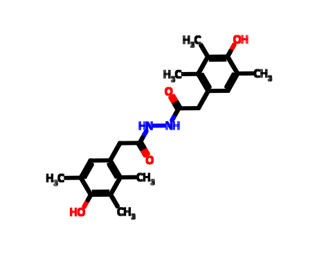 Cc1cc(CC(=O)NNC(=O)Cc2cc(C)c(O)c(C)c2C)c(C)c(C)c1O